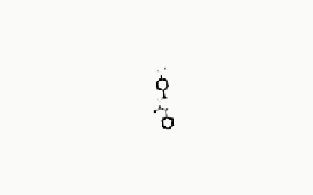 CC(C)(C)C(NC(=O)c1ccc([N+](=O)[O-])cc1)C(=O)c1ccccc1